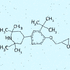 CC1(C)CC(c2ccc(OCC3CO3)c(C(C)(C)C)c2)CC(C)(C)N1